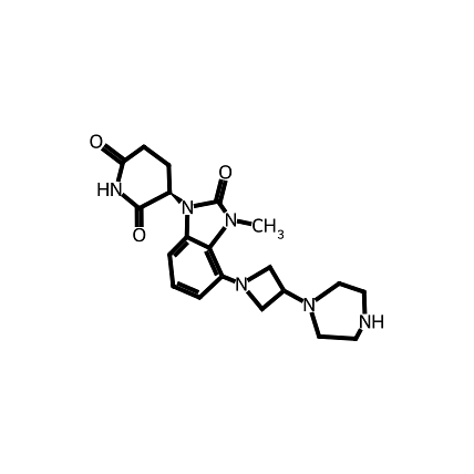 Cn1c(=O)n([C@@H]2CCC(=O)NC2=O)c2cccc(N3CC(N4CCNCC4)C3)c21